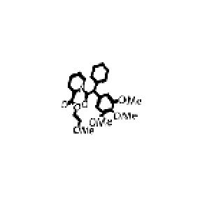 COCCOC(=O)C1CCCCN1C(=O)C(c1cc(OC)c(OC)c(OC)c1)C1CCCCC1